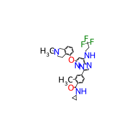 Cc1cc(-c2cnc3c(NCCC(F)(F)F)cc(Oc4cccc5c4CCN(C)C5)nn23)ccc1C(=O)NC1CC1